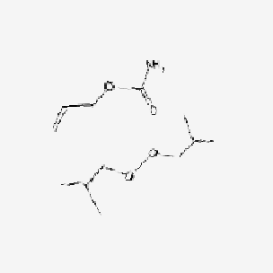 C=CCOC(N)=O.CC(C)COOCC(C)C